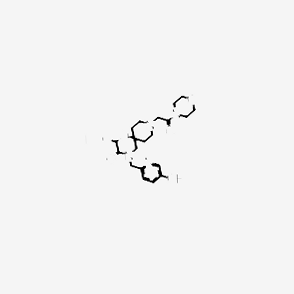 CC1OC2(CCN(CC(=O)N3CCOCC3)CC2)CN(Cc2ccc(C(F)(F)F)cn2)C1=O